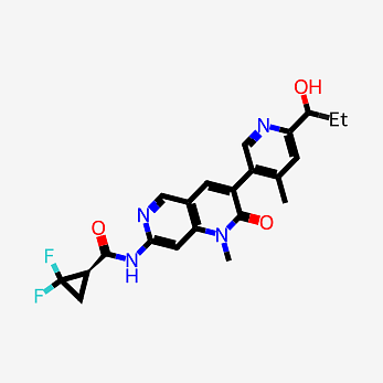 CCC(O)c1cc(C)c(-c2cc3cnc(NC(=O)[C@H]4CC4(F)F)cc3n(C)c2=O)cn1